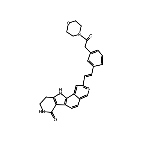 O=C1NCCc2[nH]c3c(ccc4cnc(C=Cc5cccc(CC(=O)N6CCOCC6)c5)cc43)c21